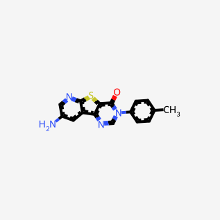 Cc1ccc(-n2cnc3c(sc4ncc(N)cc43)c2=O)cc1